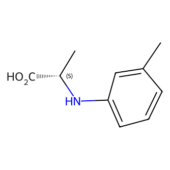 Cc1cccc(N[C@@H](C)C(=O)O)c1